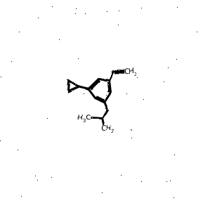 C=[C]c1cc(CC(C)C)cc(C2CC2)c1